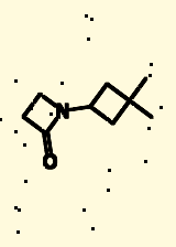 CC1(C)CC(N2CCC2=O)C1